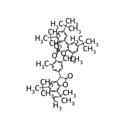 Cc1cc(C2C(=O)Oc3c2cc(C(C)(C)C)cc3C(C)(C)C)cc(C)c1Op1oc2c(C)cc(C(C)(C)C)cc2c2cc(C(C)(C)C)cc(C(C)(C)C)c2o1